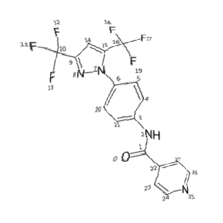 O=C(Nc1ccc(-n2nc(C(F)(F)F)cc2C(F)(F)F)cc1)c1ccncc1